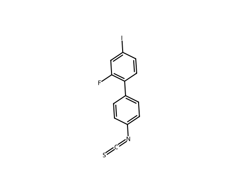 Fc1cc(I)ccc1-c1ccc(N=C=S)cc1